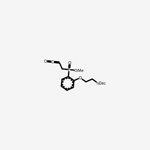 CCCCCCCCCCCCOc1ccccc1P(=O)(CC=C=O)OC